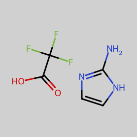 Nc1ncc[nH]1.O=C(O)C(F)(F)F